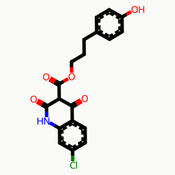 O=C1Nc2cc(Cl)ccc2C(=O)C1C(=O)OCCCc1ccc(O)cc1